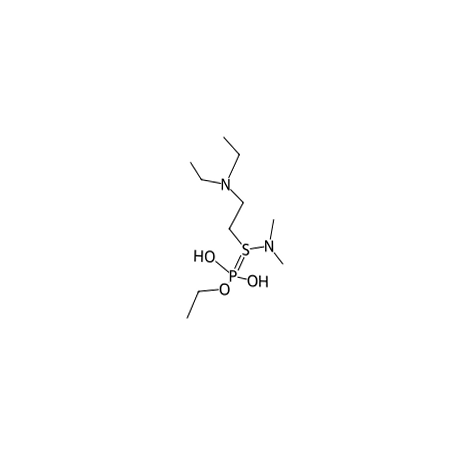 CCOP(O)(O)=S(CCN(CC)CC)N(C)C